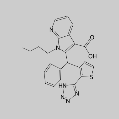 CCCCn1c(C(c2ccccc2)c2ccsc2-c2nnn[nH]2)c(C(=O)O)c2cccnc21